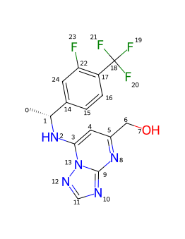 C[C@@H](Nc1cc(CO)nc2ncnn12)c1ccc(C(F)(F)F)c(F)c1